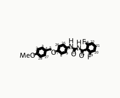 COc1ccc(COc2ccc(NC(=O)NC(=O)c3c(F)cccc3F)cc2)cc1